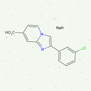 O=C(O)c1ccn2cc(-c3cccc(Cl)c3)nc2c1.[NaH]